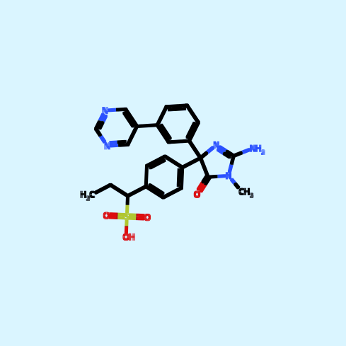 CCC(c1ccc(C2(c3cccc(-c4cncnc4)c3)N=C(N)N(C)C2=O)cc1)S(=O)(=O)O